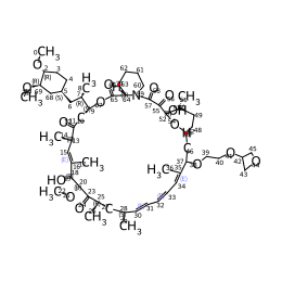 CO[C@@H]1CC[C@@H](C[C@@H](C)[C@@H]2CC(=O)[C@H](C)/C=C(\C)[C@@H](O)[C@@H](OC)C(=O)[C@H](C)C[C@H](C)/C=C/C=C/C=C(\C)C(OCCOC3COC3)C[C@@H]3CC[C@@H](C)[C@@](O)(O3)C(=O)C(=O)N3CCCC[C@H]3C(=O)O2)C[C@H]1OC